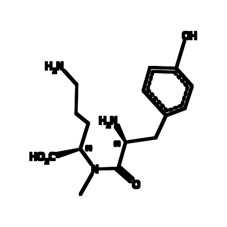 CN(C(=O)[C@@H](N)Cc1ccc(O)cc1)[C@H](CCCN)C(=O)O